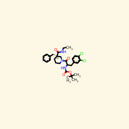 CCNC(=O)[C@]1(Cc2ccccc2)CCCN(C(=O)C(Cc2ccc(Cl)c(Cl)c2)NC(=O)OC(C)(C)C)C1